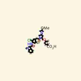 COC1CN([C@H]2CC(CO[C@H]3CC[C@H](C(=O)O)CC3)N(C(=O)Cc3cc(Cl)c(NC(=O)c4cn(C)c5ccccc45)cc3Cl)C2)C1